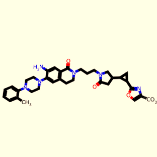 Cc1ccccc1N1CCN(c2cc3c(cc2N)C(=O)N(CCCN2CC(C4CC4c4nc(C(=O)O)co4)CC2=O)CC3)CC1